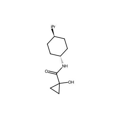 CC(C)[C@H]1CC[C@H](NC(=O)C2(O)CC2)CC1